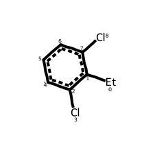 CCc1c(Cl)[c]ccc1Cl